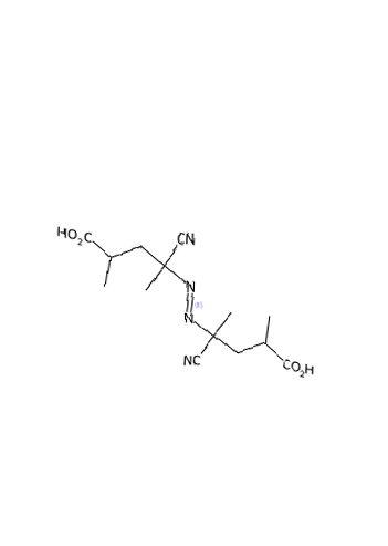 CC(CC(C)(C#N)/N=N/C(C)(C#N)CC(C)C(=O)O)C(=O)O